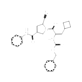 N#CC1CC(C(=O)Nc2ccccc2)CN1C(=O)C(CC1CCC1)NC(=O)OCc1ccccc1